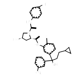 N#Cc1cccc(C(N)(CCC2CC2)c2ccc(F)c(NC(=O)[C@H]3C[C@@H](O)CN3C(=O)Nc3ccc(Cl)cc3)c2)c1